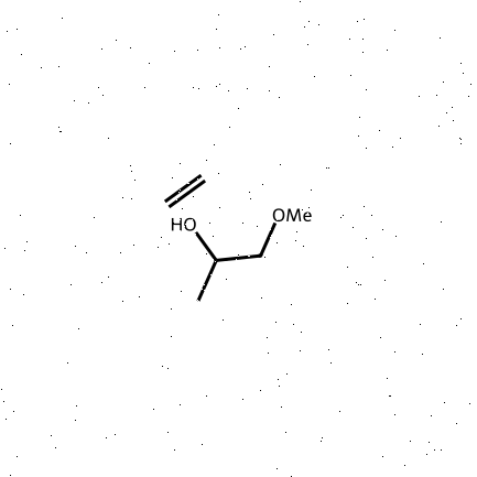 C=C.COCC(C)O